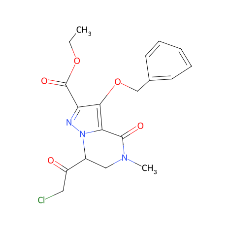 CCOC(=O)c1nn2c(c1OCc1ccccc1)C(=O)N(C)CC2C(=O)CCl